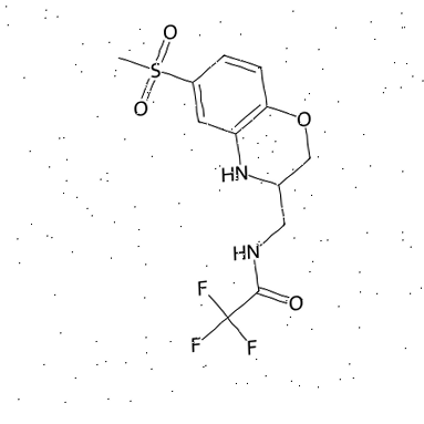 CS(=O)(=O)c1ccc2c(c1)NC(CNC(=O)C(F)(F)F)CO2